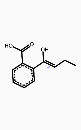 CC/C=C(\O)c1ccccc1C(=O)O